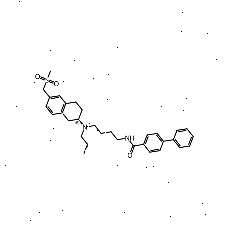 CCCN(CCCCNC(=O)c1ccc(-c2ccccc2)cc1)[C@@H]1CCc2cc(CS(C)(=O)=O)ccc2C1